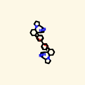 O=C=C1CCC[C]2N3CCCC3c3ncc([nH]3)C21c1ccc(-c2ccc([C@@]34[C](CCCC3=C=O)N3CCCC3c3ncc4[nH]3)cc2)cc1